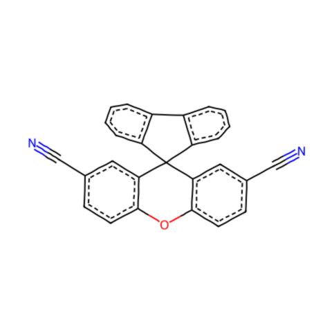 N#Cc1ccc2c(c1)C1(c3cc(C#N)ccc3O2)c2ccccc2-c2ccccc21